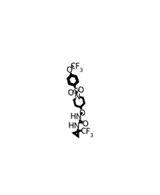 O=C(NOC1CCN(S(=O)(=O)c2ccc(OC(F)(F)F)cc2)CC1)NC1(C(F)(F)F)CC1